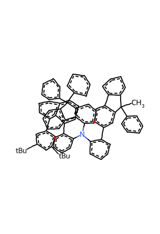 CC(C)(C)c1cc(-c2cccc3cccc(-c4ccccc4N(c4ccccc4-c4ccc5c(c4)C(C)(c4ccccc4)c4ccccc4-5)c4cccc5c4-c4ccccc4C5(c4ccccc4)c4ccccc4)c23)cc(C(C)(C)C)c1